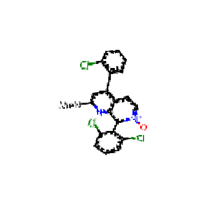 CNc1cc(-c2ccccc2Cl)c2cc[n+]([O-])c(-c3c(Cl)cccc3Cl)c2n1